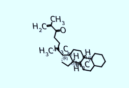 C=C(C)C(=O)CC[C@@H](C)[C@H]1CC[C@H]2[C@@H]3CCC4CCCC[C@]4(C)[C@H]3CC[C@]12C